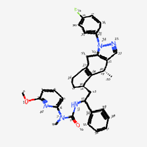 COc1cccc(N(C)C(=O)NC(C[C@H]2CCC3=C2[C@@H](C)c2cnn(-c4ccc(F)cc4)c2C3)c2ccccc2)n1